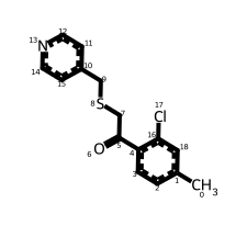 Cc1ccc(C(=O)CSCc2ccncc2)c(Cl)c1